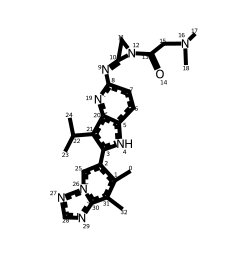 Cc1c(-c2[nH]c3ccc(/N=C4/CN4C(=O)CN(C)C)nc3c2C(C)C)cn2ncnc2c1C